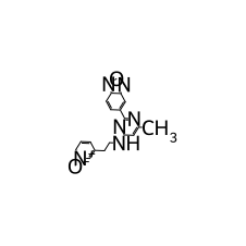 Cc1cc(NCCc2ccc[n+]([O-])c2)nc(-c2ccc3nonc3c2)n1